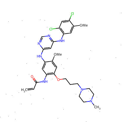 C=CC(=O)Nc1cc(Nc2cc(Nc3cc(OC)c(Cl)cc3Cl)ncn2)c(OC)cc1OCCCN1CCN(C)CC1